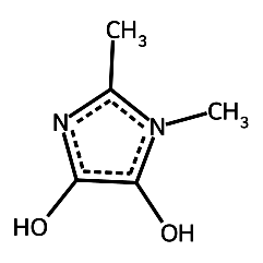 Cc1nc(O)c(O)n1C